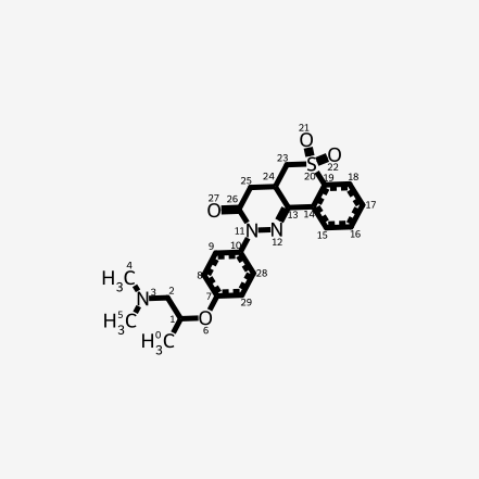 CC(CN(C)C)Oc1ccc(N2N=C3c4ccccc4S(=O)(=O)CC3CC2=O)cc1